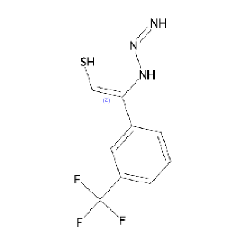 N=NN/C(=C\S)c1cccc(C(F)(F)F)c1